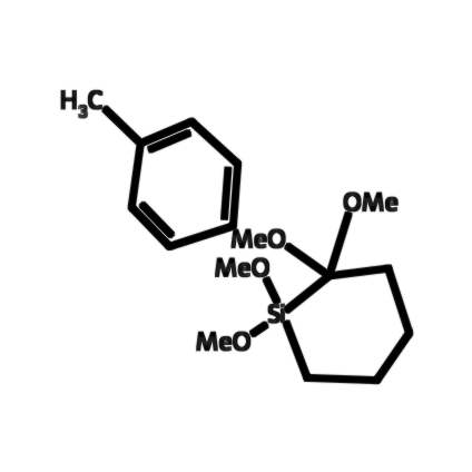 COC1(OC)CCCC[Si]1(OC)OC.Cc1ccccc1